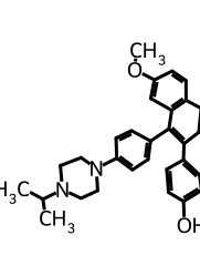 COc1ccc2c(c1)C(c1ccc(N3CCN(C(C)C)CC3)cc1)=C(c1ccc(O)cc1)CC2